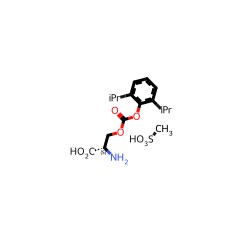 CC(C)c1cccc(C(C)C)c1OC(=O)OC[C@H](N)C(=O)O.CS(=O)(=O)O